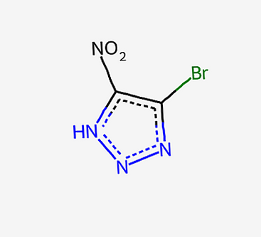 O=[N+]([O-])c1[nH]nnc1Br